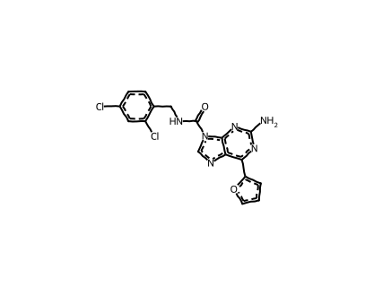 Nc1nc(-c2ccco2)c2ncn(C(=O)NCc3ccc(Cl)cc3Cl)c2n1